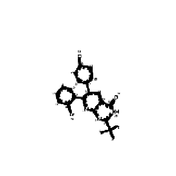 CC(C)(C)c1nc2nc(-c3ccccc3Br)c(-c3ccc(Cl)cc3)cc2c(=O)[nH]1